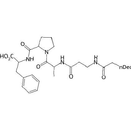 CCCCCCCCCCCC(=O)NCCC(=O)NC(C)C(=O)N1CCCC1C(=O)NC(Cc1ccccc1)C(=O)O